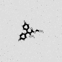 CCOC(=O)C(C)=C(c1ccc(F)cc1)c1ccc(F)cc1